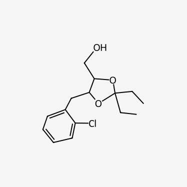 CCC1(CC)OC(CO)C(Cc2ccccc2Cl)O1